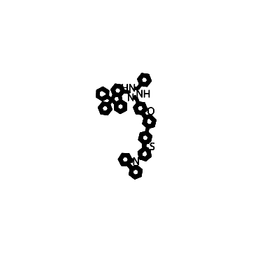 C1=CC(C2(c3ccccc3)c3ccccc3-c3c(C4N=C(c5ccc6c(c5)oc5ccc(-c7ccc8c(c7)sc7ccc(-n9c%10ccccc%10c%10ccccc%109)cc78)cc56)NC(c5ccccc5)N4)cccc32)=CCC1